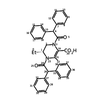 CC[C@@H]1CN(C(=O)C(c2ccccc2)c2ccccc2)C(C(=O)O)=C(C)N1C(=O)C(c1ccccc1)c1ccccc1